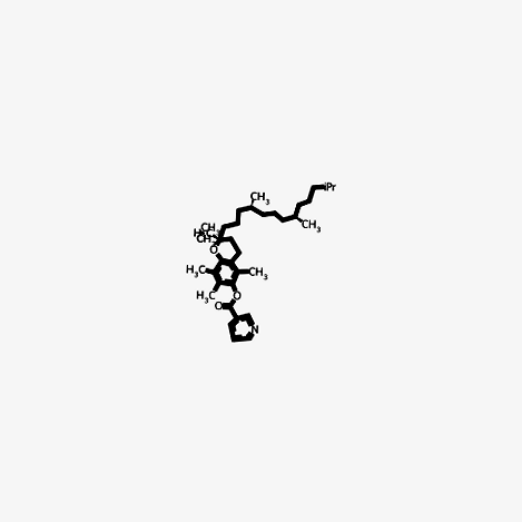 CC.Cc1c(C)c2c(c(C)c1OC(=O)c1cccnc1)CC[C@@](C)(CCC[C@H](C)CCC[C@H](C)CCCC(C)C)O2